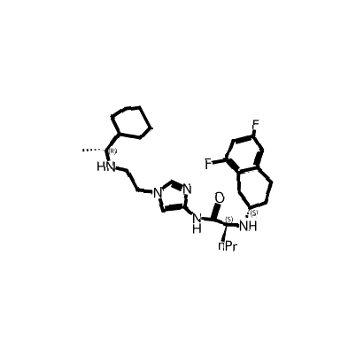 CCC[C@H](N[C@H]1CCc2cc(F)cc(F)c2C1)C(=O)Nc1cn(CCN[C@H](C)C2CCCCC2)cn1